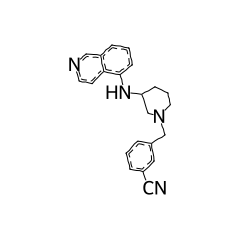 N#Cc1cccc(CN2CCCC(Nc3cccc4cnccc34)C2)c1